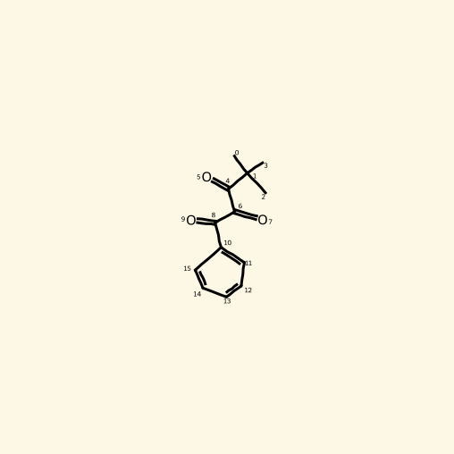 CC(C)(C)C(=O)C(=O)C(=O)c1ccccc1